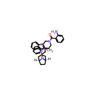 Cc1nc2ccccc2n1[C@H]1C[C@H]2CC[C@@H](C1)N2CCC1(c2ccccc2)CCN(C(=O)c2ccccc2N)CC1